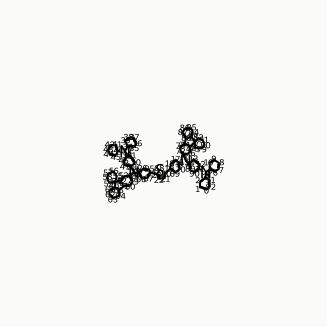 c1ccc(N(c2ccccc2)c2ccc(N(c3ccc(-c4ccc(-c5ccc(N(c6ccc(N(c7ccccc7)c7ccccc7)cc6)c6ccc7c(c6)C6(CCCCC6)c6ccccc6-7)cc5)s4)cc3)c3ccc4c(c3)C3(CCCCC3)c3ccccc3-4)cc2)cc1